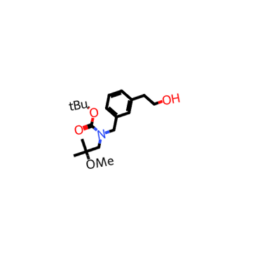 COC(C)(C)CN(Cc1cccc(CCO)c1)C(=O)OC(C)(C)C